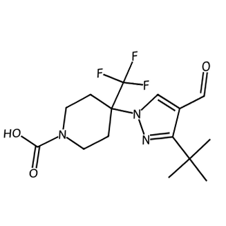 CC(C)(C)c1nn(C2(C(F)(F)F)CCN(C(=O)O)CC2)cc1C=O